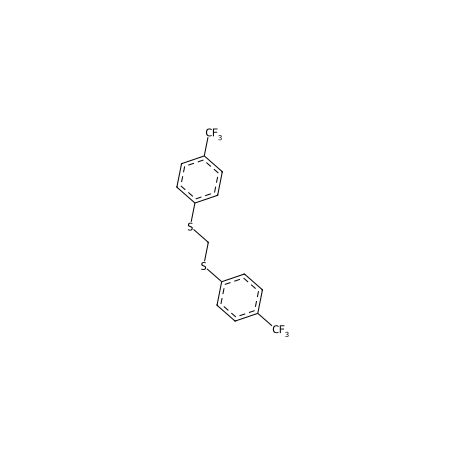 FC(F)(F)c1ccc(SCSc2ccc(C(F)(F)F)cc2)cc1